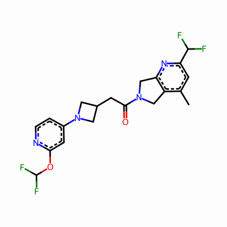 Cc1cc(C(F)F)nc2c1CN(C(=O)CC1CN(c3ccnc(OC(F)F)c3)C1)C2